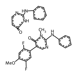 COc1cc(F)c(-c2cnc(Nc3ccccc3)n(C)c2=O)cc1F.O=c1ccnc(Nc2ccccc2)[nH]1